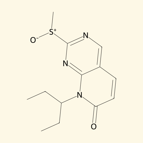 CCC(CC)n1c(=O)ccc2cnc([S+](C)[O-])nc21